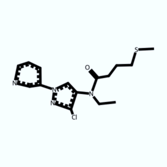 CCN(C(=O)CCCSC)c1cn(-c2cccnc2)nc1Cl